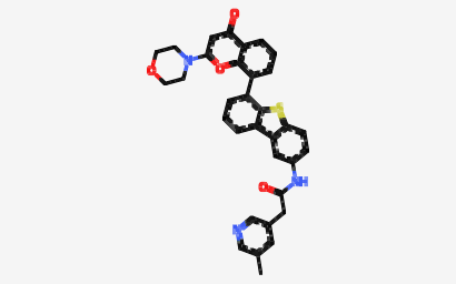 Cc1cncc(CC(=O)Nc2ccc3sc4c(-c5cccc6c(=O)cc(N7CCOCC7)oc56)cccc4c3c2)c1